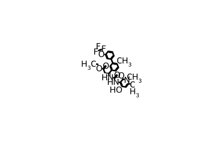 CCOC(=O)C[C@H](NC(=O)Nc1c(O)cc(C)n(C)c1=O)c1ccc(C)c(-c2cccc(OC(F)(F)F)c2)c1